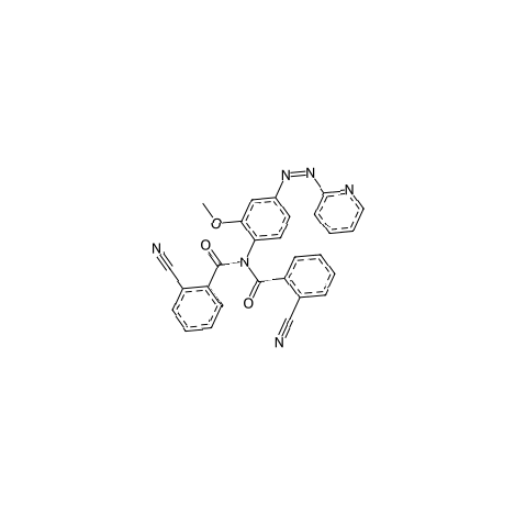 COc1cc(/N=N\c2ccccn2)ccc1N(C(=O)c1ccccc1C#N)C(=O)c1ccccc1C#N